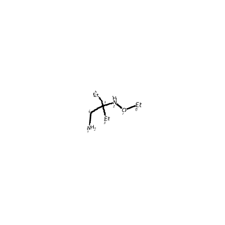 CCONC(CC)(CC)CN